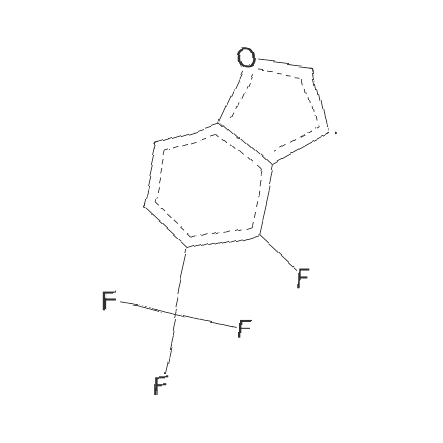 Fc1c(C(F)(F)F)ccc2oc[c]c12